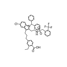 CCc1cc(CCCc2c(CCNS(=O)(=O)Cc3ccccc3C(F)(F)F)n(C(c3ccccc3)c3ccccc3)c3ccc(Cl)cc23)ccc1C(=O)O